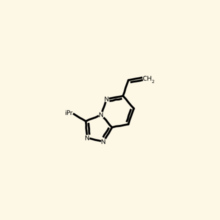 C=Cc1ccc2nnc(C(C)C)n2n1